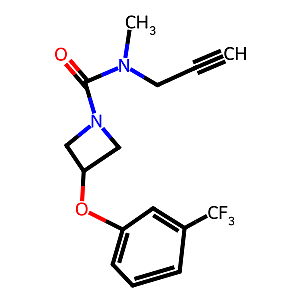 C#CCN(C)C(=O)N1CC(Oc2cccc(C(F)(F)F)c2)C1